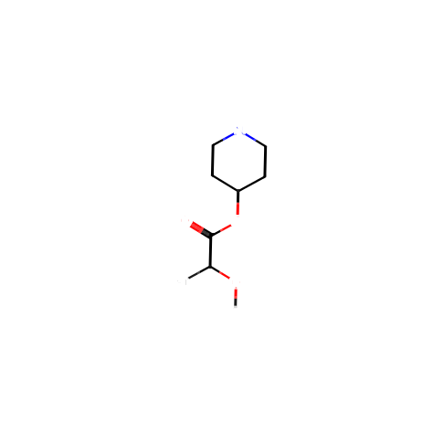 CCOC(C(=O)OC1CCNCC1)C(C)(C)C